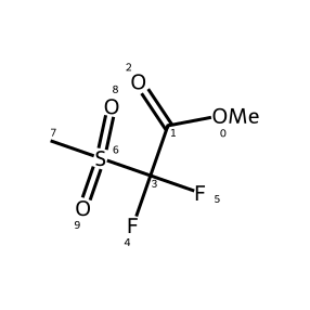 COC(=O)C(F)(F)S(C)(=O)=O